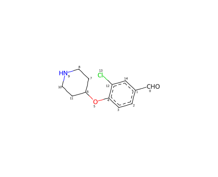 O=Cc1ccc(OC2CCNCC2)c(Cl)c1